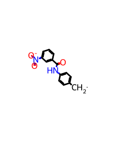 [CH2]c1ccc(NC(=O)c2cccc([N+](=O)[O-])c2)cc1